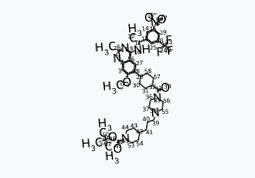 COc1cc2nc(C)nc(N[C@H](C)c3cc([N+](=O)[O-])cc(C(F)(F)F)c3)c2cc1C1CCC(C(=O)N2CCN(CCCC3CCN(C(=O)OC(C)(C)C)CC3)CC2)CC1